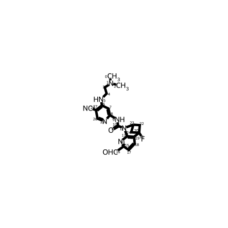 CN(C)CCNc1cc(NC(=O)N2c3nc(C=O)ccc3C3(F)CC2C3)ncc1C#N